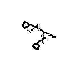 C=CCOCC(COC(=O)[C@@H](N)Cc1ccccc1)OC(=O)[C@@H](C)Cc1ccccc1